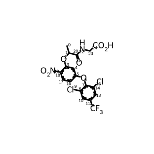 CC(Oc1cc(Oc2c(Cl)cc(C(F)(F)F)cc2Cl)ccc1[N+](=O)[O-])C(=O)NCC(=O)O